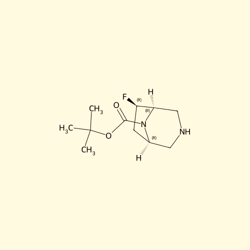 CC(C)(C)OC(=O)N1[C@H]2CNC[C@@H]1[C@H](F)C2